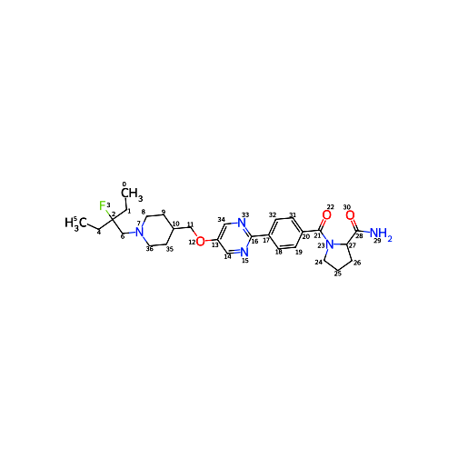 CCC(F)(CC)CN1CCC(COc2cnc(-c3ccc(C(=O)N4CCCC4C(N)=O)cc3)nc2)CC1